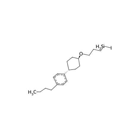 CCCCc1ccc([C@H]2CC[C@H](OCCC[SiH2]I)CC2)cc1